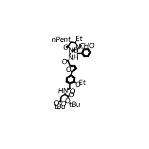 CCCCCC(C(=O)NCNC(=O)c1ccc(-c2ccc(C(=O)NC(CC(=O)OC(C)(C)C)C(=O)OC(C)(C)C)c(OCC)c2)o1)[C@@H](CC)N(C=O)OCc1ccccc1